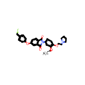 COc1cc(N2C(=O)c3ccc(Oc4ccc(CF)cc4)cc3C2=O)ccc1OCCN1CCCC1